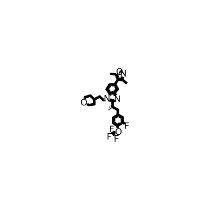 Cc1noc(C)c1-c1ccc2c(c1)nc([C@@H](C)Cc1ccc(OC(F)(F)F)c(F)c1)n2CCC1CCOCC1